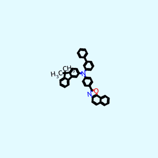 CC1(C)c2ccccc2-c2cc(N(c3ccc(-c4nc5ccc6ccccc6c5o4)cc3)c3cccc(-c4ccccc4)c3)ccc21